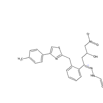 Cc1ccc(-c2csc(Cc3ccccc3/C(CC(O)C[N+](=O)[O-])=N\NC=O)n2)cc1